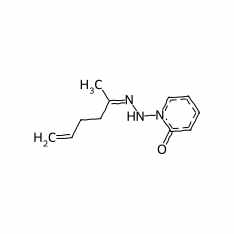 C=CCCC(C)=NNn1ccccc1=O